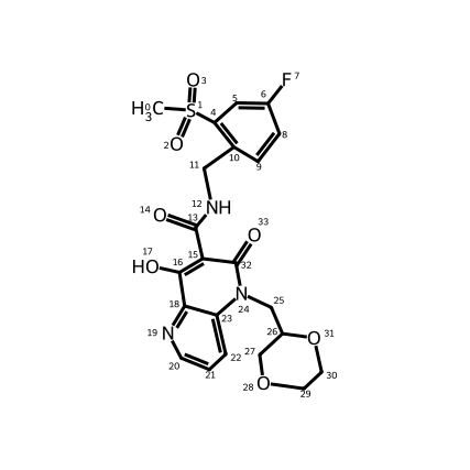 CS(=O)(=O)c1cc(F)ccc1CNC(=O)c1c(O)c2ncccc2n(CC2COCCO2)c1=O